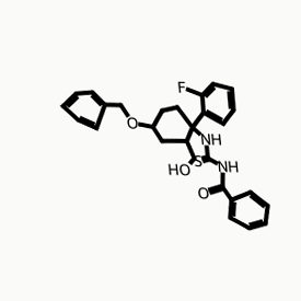 O=C(NC(=S)NC1(c2ccccc2F)CCC(OCc2ccccc2)CC1CO)c1ccccc1